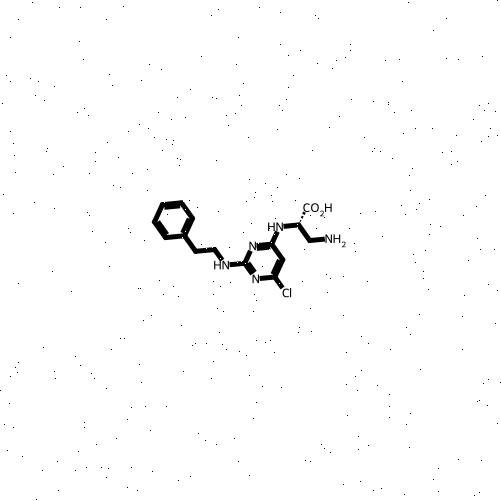 NC[C@H](Nc1cc(Cl)nc(NCCc2ccccc2)n1)C(=O)O